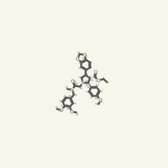 CCOC(=O)[C@H]1C(c2ccc3c(c2)OCO3)CN(CC(=O)N(C)Cc2ccc(OC)c(OC)c2)[C@@H]1c1ccc(OC)cc1